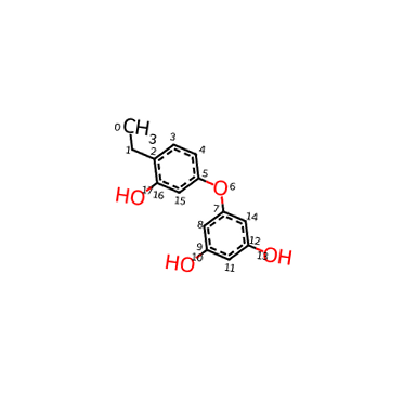 CCc1ccc(Oc2cc(O)cc(O)c2)cc1O